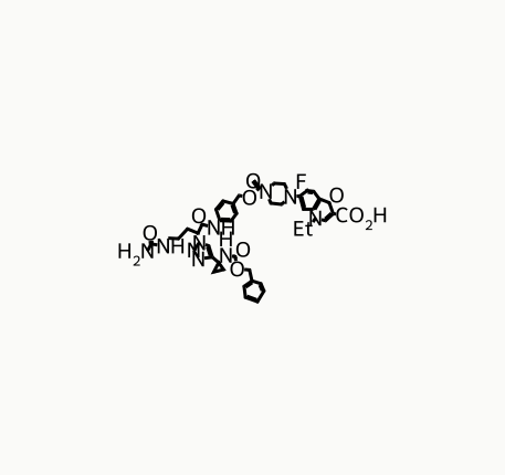 CCn1cc(C(=O)O)c(=O)c2cc(F)c(N3CCN(C(=O)OCc4ccc(NC(=O)C(CCCNC(N)=O)n5cc(C6(NC(=O)OCc7ccccc7)CC6)nn5)cc4)CC3)cc21